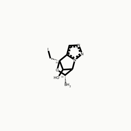 B[C@@H]1O[C@@]2(CI)c3cnnn3C1C2O